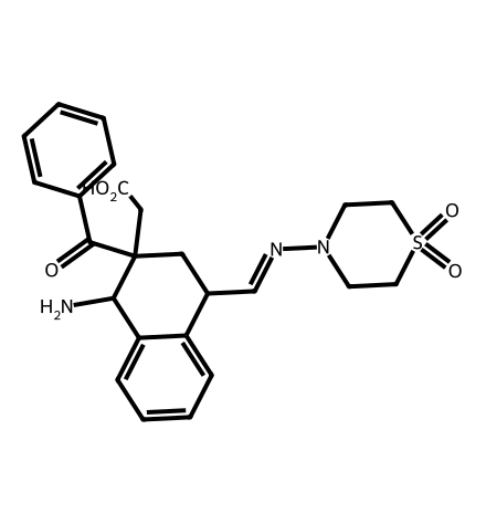 NC1c2ccccc2C(C=NN2CCS(=O)(=O)CC2)CC1(CC(=O)O)C(=O)c1ccccc1